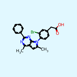 Cc1nc(-c2ccccc2)nc2c1cc(C)n2-c1ccc(CC(=O)O)cc1Br